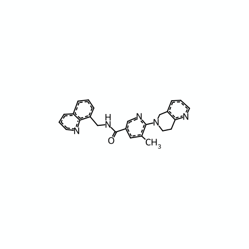 Cc1cc(C(=O)NCc2cccc3cccnc23)cnc1N1CCc2ncccc2C1